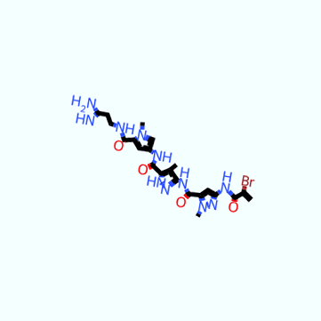 C=C(Br)C(=O)Nc1cc(C(=O)Nc2n[nH]c(C(=O)Nc3cc(C(=O)NCCC(=N)N)n(C)c3)c2C)n(C)n1